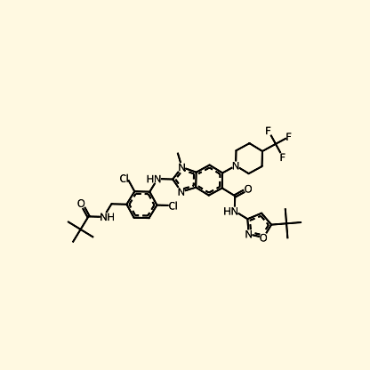 Cn1c(Nc2c(Cl)ccc(CNC(=O)C(C)(C)C)c2Cl)nc2cc(C(=O)Nc3cc(C(C)(C)C)on3)c(N3CCC(C(F)(F)F)CC3)cc21